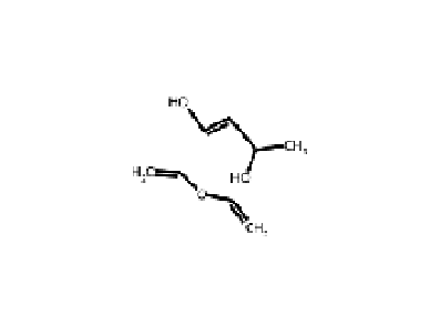 C=COC=C.CC(O)C=CO